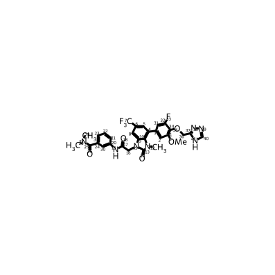 COc1cc(-c2cc(C(F)(F)F)cc3c2n(C)c(=O)n3CC(=O)Nc2cccc(C(=O)N(C)C)c2)cc(F)c1OCc1nnc[nH]1